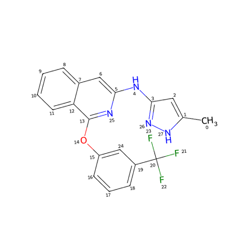 Cc1cc(Nc2cc3ccccc3c(Oc3cccc(C(F)(F)F)c3)n2)n[nH]1